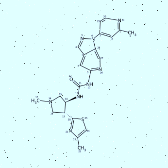 Cc1cc(-n2ncc3cc(NC(=O)N[C@@H]4CN(C)C[C@H]4c4nc(C)cs4)ncc32)ccn1